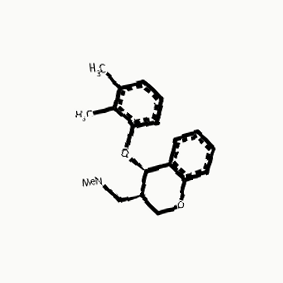 CNC[C@@H]1COc2ccccc2[C@@H]1Oc1cccc(C)c1C